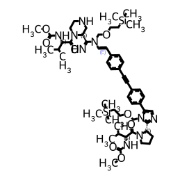 COC(=O)N[C@H](C(=O)N1CCNC[C@H]1C(=N)N(/C=C/c1ccc(C#Cc2ccc(-c3cnc([C@@H]4CCCN4C(=O)[C@@H](NC(=O)OC)C(C)C)n3COCC[Si](C)(C)C)cc2)cc1)COCC[Si](C)(C)C)C(C)C